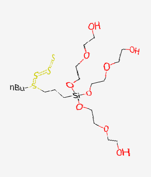 CCCCS(CCC[Si](OCCOCCO)(OCCOCCO)OCCOCCO)=S=S=S